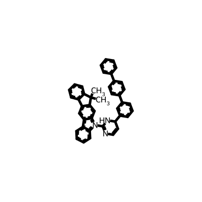 CC1(C)c2ccccc2-c2cc3c4ccccc4n(C4=NC=CC(c5cccc(-c6ccc(-c7ccccc7)cc6)c5)N4)c3cc21